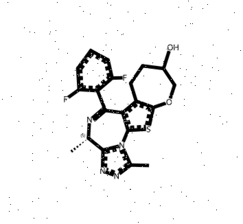 Cc1nnc2n1-c1sc3c(c1C(c1c(F)cccc1F)=N[C@H]2C)CCC(O)CO3